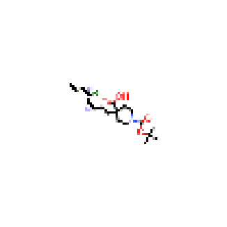 C=C/C=C(Cl)\C=C/CCC1(C(=O)O)CCN(C(=O)OC(C)(C)C)CC1